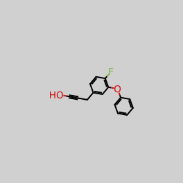 OC#CCc1ccc(F)c(Oc2ccccc2)c1